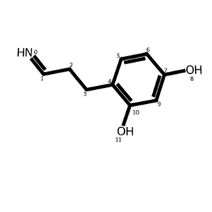 N=CCCc1ccc(O)cc1O